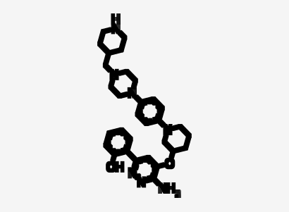 Nc1nnc(-c2ccccc2O)cc1OC1CCCN(c2ccc(N3CCN(CC4CCNCC4)CC3)cc2)C1